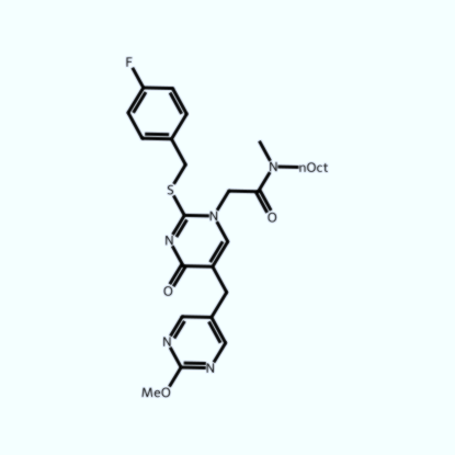 CCCCCCCCN(C)C(=O)Cn1cc(Cc2cnc(OC)nc2)c(=O)nc1SCc1ccc(F)cc1